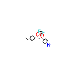 CCc1ccc(C(=O)CC(=O)c2ccc(N(C)C)cc2)cc1.F[B]F